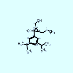 COCC1[C@H](CO)C1(C)c1cc(C(C)C)cc(C(C)C)c1